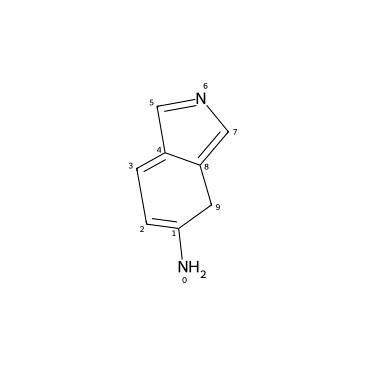 NC1=CC=C2C=NC=C2C1